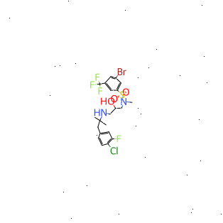 CN(CC(O)CNC(C)(C)Cc1ccc(Cl)c(F)c1)S(=O)(=O)c1cc(Br)cc(C(F)(F)F)c1